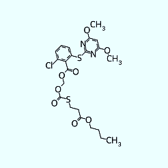 CCCCOC(=O)CCSC(=O)OCOC(=O)c1c(Cl)cccc1Sc1nc(OC)cc(OC)n1